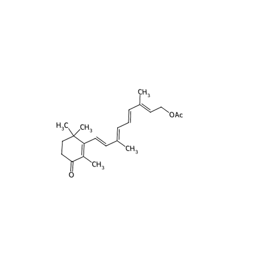 CC(=O)OCC=C(C)C=CC=C(C)C=CC1=C(C)C(=O)CCC1(C)C